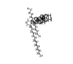 C1CCCCC1.CCCCCCCCCCCCCC.CCCCCCCCCCCCCC.O=P(O)(O)O.O=P(O)(O)O